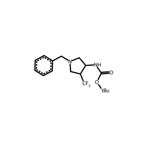 CC(C)(C)OC(=O)NC1CN(Cc2ccccc2)CC1C(F)(F)F